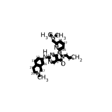 C=CCn1c(=O)c2cnc(Nc3ccc4c(c3)CN(C)CC4)nc2n1-c1cccc(CN(C)C)n1